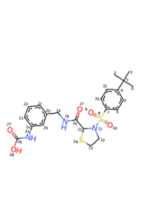 CC(C)(C)c1ccc(S(=O)(=O)N2CCSC2C(=O)NCc2cccc(NC(=O)O)c2)cc1